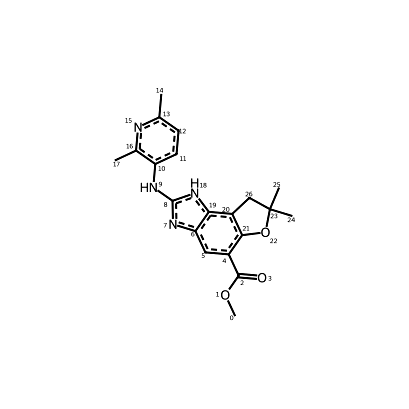 COC(=O)c1cc2nc(Nc3ccc(C)nc3C)[nH]c2c2c1OC(C)(C)C2